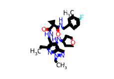 CCc1nc2c(cnn2CC)c(NC2CCOCC2)c1CNC(=O)C1(C(=O)NCc2ccc(F)c(C)c2)CC1